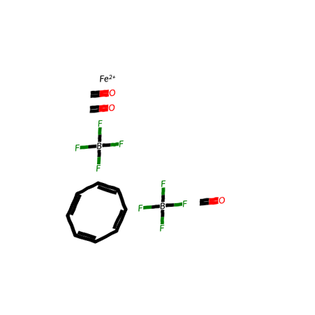 C1=C\C=C/C=C\C=C/1.C=O.C=O.C=O.F[B-](F)(F)F.F[B-](F)(F)F.[Fe+2]